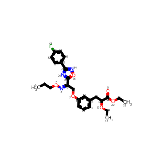 CCCON=C(COc1cccc(CC(OCC)C(=O)OCC)c1)c1nc(-c2ccc(F)cc2)no1